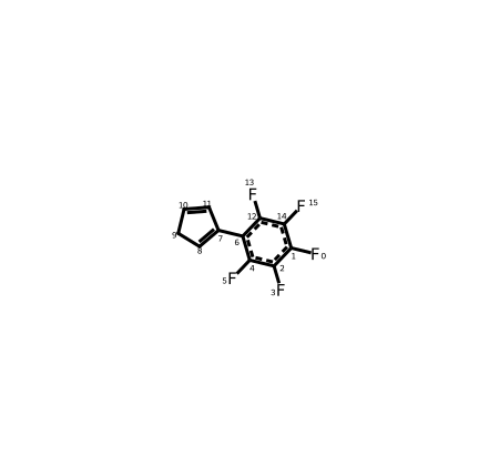 Fc1c(F)c(F)c(C2=CCC=C2)c(F)c1F